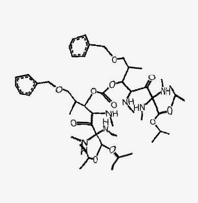 CNC(C(=O)C(NC)(NC)C(OC(C)C)OC(C)C)C(OC(=O)OC(C(C)COCc1ccccc1)C(NC)C(=O)C(NC)(NC)C(OC(C)C)OC(C)C)C(C)COCc1ccccc1